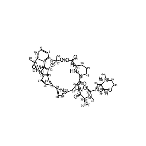 CCn1c(-c2cccnc2[C@H](C)OC)c2c3cc(ccc31)-c1csc(n1)C[C@H](NC(=O)[C@H](C(C)C)N(C)C(=O)N1C[C@@H]3[C@@H](C1)OCCN3C)C(=O)N1CCC[C@H](N1)C(=O)OCC(C)(C)C2